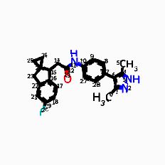 Cc1n[nH]c(C)c1-c1ccc(NC(=O)CC2c3ccc(F)cc3CC23CC3)cc1